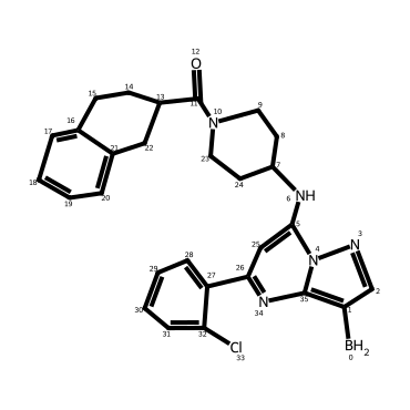 Bc1cnn2c(NC3CCN(C(=O)C4CCc5ccccc5C4)CC3)cc(-c3ccccc3Cl)nc12